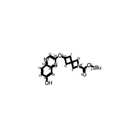 CC(C)(C)OC(=O)N1CC2(CC(Oc3cnc4ccc(O)cc4n3)C2)C1